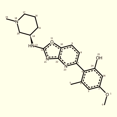 COc1cc(C)c(-c2ccc3oc(N[C@@H]4CCCN(C)C4)nc3n2)c(O)c1